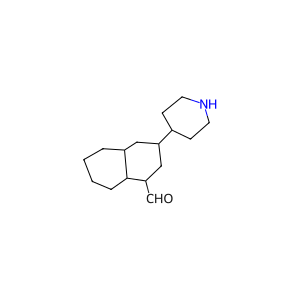 O=CC1CC(C2CCNCC2)CC2CCCCC12